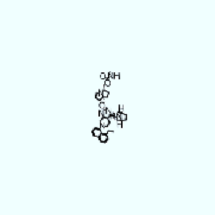 CCc1cccc2cccc(N3CCc4c(nc(OC[C@]56CCCN5[C@@H](COC(=O)NC)CC6)nc4N4C[C@H]5CC[C@@H](C4)N5)C3)c12